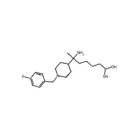 CC(N)(CCCCB(O)O)C1CCN(Cc2ccc(F)cc2)CC1